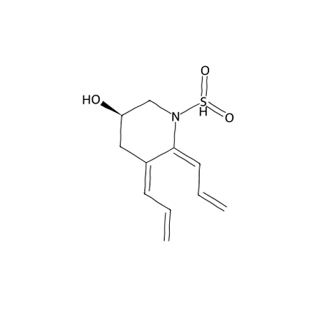 C=C/C=C1/C[C@@H](O)CN([SH](=O)=O)/C1=C/C=C